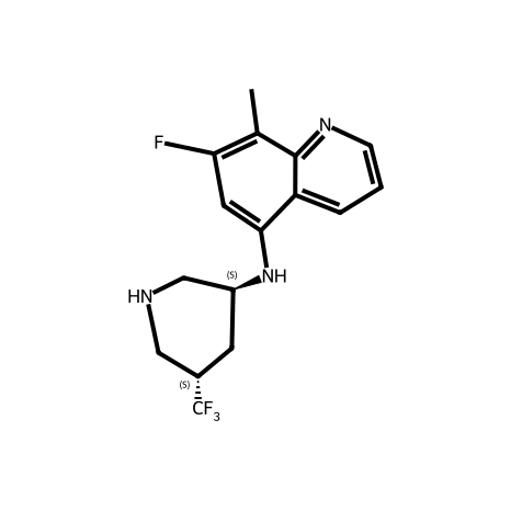 Cc1c(F)cc(N[C@@H]2CNC[C@@H](C(F)(F)F)C2)c2cccnc12